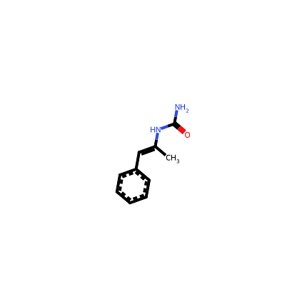 C/C(=C\c1ccccc1)NC(N)=O